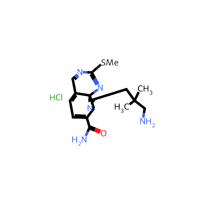 CSC1=NC23CC(CC(C)(C)CN)N=C2C(C(N)=O)=CC=C3C=N1.Cl